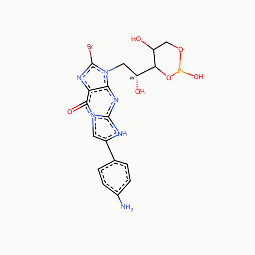 Nc1ccc(-c2cn3c(=O)c4nc(Br)n(C[C@@H](O)C5OP(O)OCC5O)c4nc3[nH]2)cc1